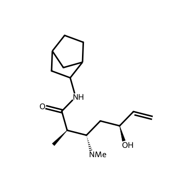 C=C[C@@H](O)C[C@H](NC)[C@@H](C)C(=O)NC1CC2CCC1C2